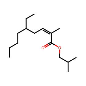 CCCCC(CC)CC=C(C)C(=O)OCC(C)C